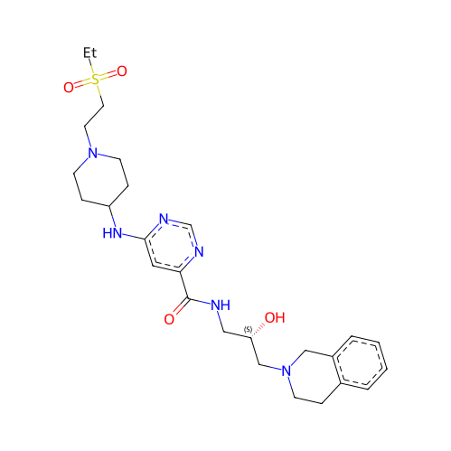 CCS(=O)(=O)CCN1CCC(Nc2cc(C(=O)NC[C@H](O)CN3CCc4ccccc4C3)ncn2)CC1